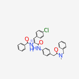 CN(Cc1ccccc1)C(=O)Cc1ccc(NC(=O)/C(=C\c2ccc(Cl)cc2)NC(=O)c2ccccc2)cc1